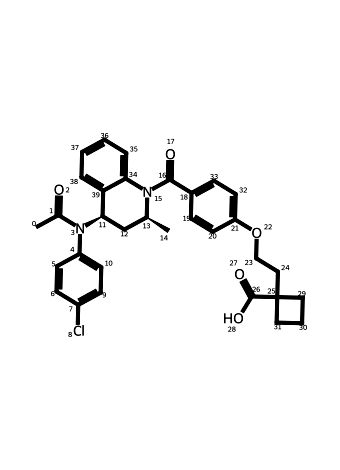 CC(=O)N(c1ccc(Cl)cc1)[C@@H]1C[C@H](C)N(C(=O)c2ccc(OCCC3(C(=O)O)CCC3)cc2)c2ccccc21